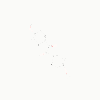 CCCCCCCCCCOc1ccc(C(=O)C(=O)c2ccc(OCCCCCCCCCC)cc2)cc1